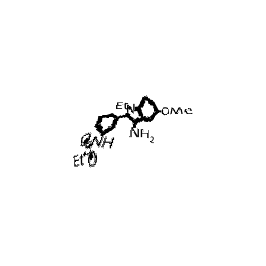 CCn1c(-c2cccc(NS(=O)(=O)CC)c2)c(N)c2cc(OC)ccc21